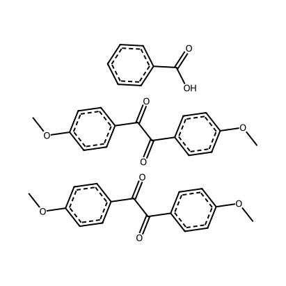 COc1ccc(C(=O)C(=O)c2ccc(OC)cc2)cc1.COc1ccc(C(=O)C(=O)c2ccc(OC)cc2)cc1.O=C(O)c1ccccc1